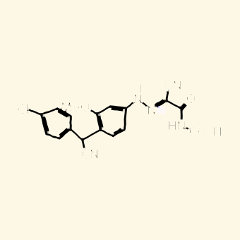 COc1cc(N/N=C(\C#N)C(=O)NC(=O)O)ccc1C(C#N)c1ccc(Cl)cc1